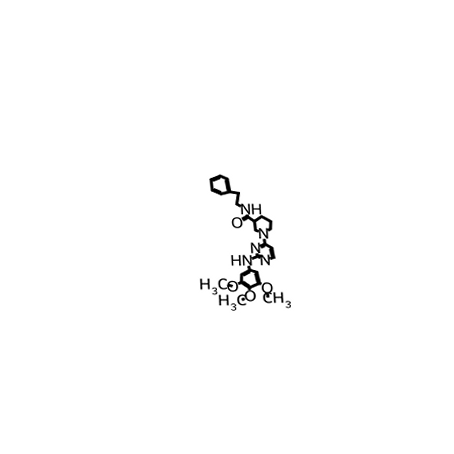 COc1cc(Nc2nccc(N3CCCC(C(=O)NCCc4ccccc4)C3)n2)cc(OC)c1OC